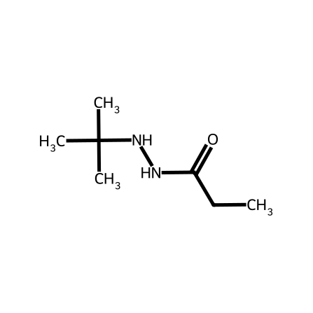 CCC(=O)NNC(C)(C)C